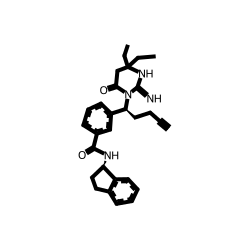 C#CCC[C@@H](c1cccc(C(=O)N[C@H]2CCc3ccccc32)c1)N1C(=N)NC(CC)(CC)CC1=O